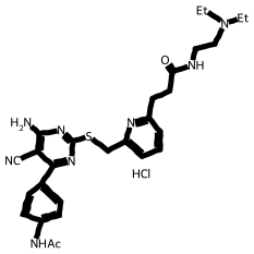 CCN(CC)CCNC(=O)CCc1cccc(CSc2nc(N)c(C#N)c(-c3ccc(NC(C)=O)cc3)n2)n1.Cl